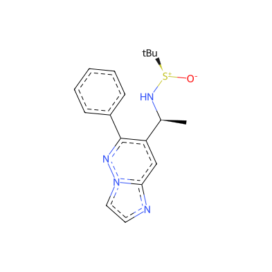 C[C@H](N[S@+]([O-])C(C)(C)C)c1cc2nccn2nc1-c1ccccc1